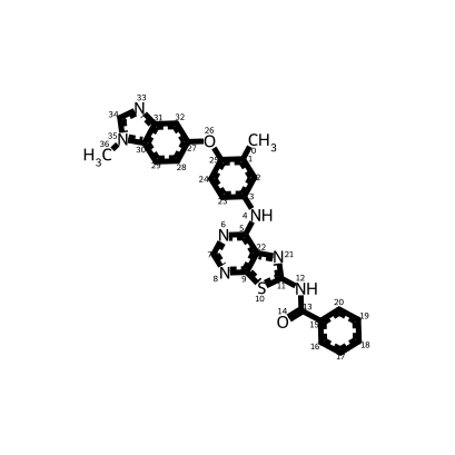 Cc1cc(Nc2ncnc3sc(NC(=O)c4ccccc4)nc23)ccc1Oc1ccc2c(c1)ncn2C